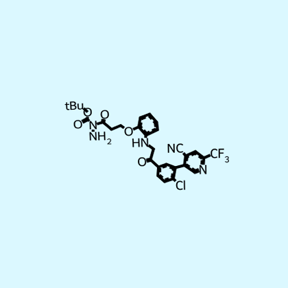 CC(C)(C)OC(=O)N(N)C(=O)CCOc1ccccc1NCC(=O)c1ccc(Cl)c(-c2cnc(C(F)(F)F)cc2C#N)c1